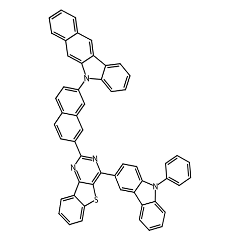 c1ccc(-n2c3ccccc3c3cc(-c4nc(-c5ccc6ccc(-n7c8ccccc8c8cc9ccccc9cc87)cc6c5)nc5c4sc4ccccc45)ccc32)cc1